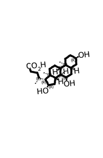 C[C@H](CCC(=O)O)[C@H]1[C@H](O)C[C@H]2[C@@H]3[C@H](O)C[C@@H]4C[C@H](O)CC[C@]4(C)[C@H]3CC[C@]12C